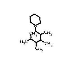 CC(C)C(C)C(C)C(C)CN1CCCCC1